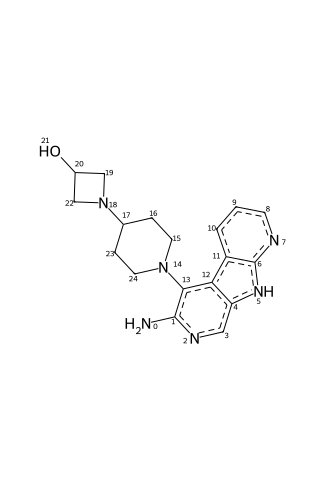 Nc1ncc2[nH]c3ncccc3c2c1N1CCC(N2CC(O)C2)CC1